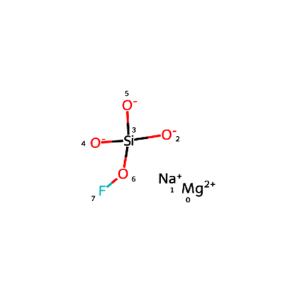 [Mg+2].[Na+].[O-][Si]([O-])([O-])OF